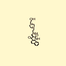 O=C1Nc2c(ccc3ccccc23)C(=O)C1=CNCCN1CCN(CCO)CC1